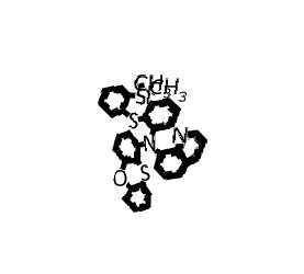 C[Si]1(C)c2ccccc2Sc2c(N(c3cccc4c3Sc3ccccc3O4)c3cccc4cccnc34)cccc21